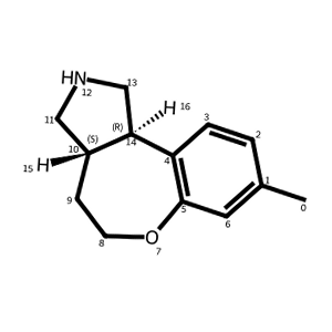 Cc1ccc2c(c1)OCC[C@@H]1CNC[C@@H]21